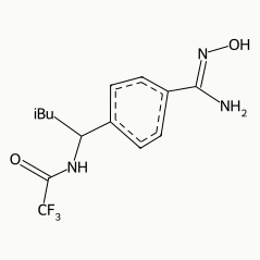 CCC(C)C(NC(=O)C(F)(F)F)c1ccc(/C(N)=N/O)cc1